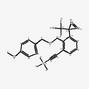 COc1ccc(COCc2c(C#C[Si](C)(C)C)cccc2C2(C(F)(F)F)N=N2)cc1